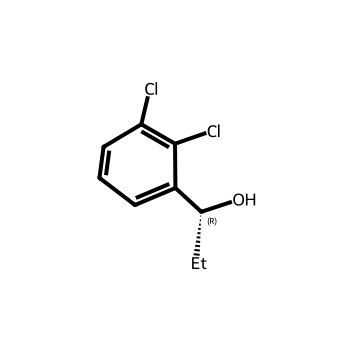 CC[C@@H](O)c1cccc(Cl)c1Cl